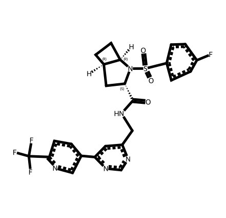 O=C(NCc1cc(-c2ccc(C(F)(F)F)nc2)ncn1)[C@@H]1C[C@H]2CC[C@H]2N1S(=O)(=O)c1ccc(F)cc1